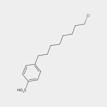 O=S(=O)(O)c1ccc(CCCCCCCCCl)cc1